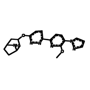 COc1nc(-c2ccc(OC3CC4CCC(C3)N4)nn2)ccc1-n1cccn1